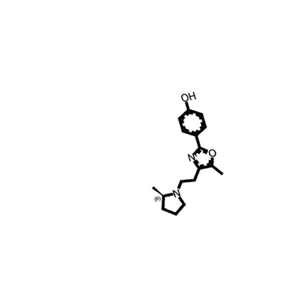 Cc1oc(-c2ccc(O)cc2)nc1CCN1CCC[C@H]1C